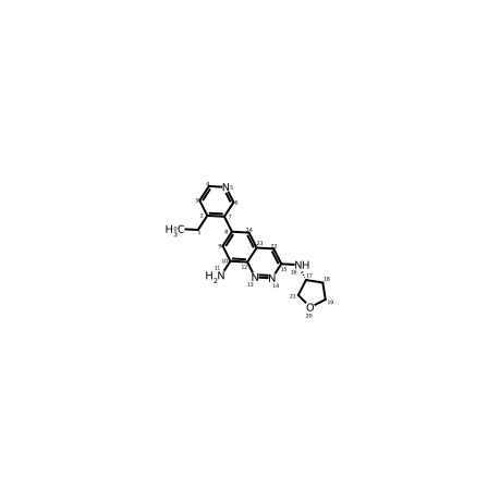 CCc1ccncc1-c1cc(N)c2nnc(N[C@@H]3CCOC3)cc2c1